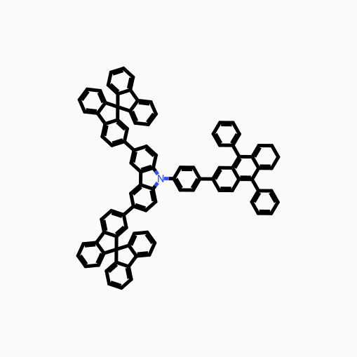 C1=c2c(-c3ccccc3)c3ccc(-c4ccc(-n5c6ccc(-c7ccc8c(c7)C7(c9ccccc9-c9ccccc97)c7ccccc7-8)cc6c6cc(-c7ccc8c(c7)C7(c9ccccc9-c9ccccc97)c7ccccc7-8)ccc65)cc4)cc3c(-c3ccccc3)c2=CCC1